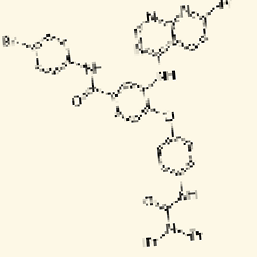 CC(C)c1ccc2c(Nc3cc(C(=O)Nc4ccc(Br)cc4)ccc3Oc3ccc(NC(=O)N(C(C)C)C(C)C)cc3)ncnc2n1